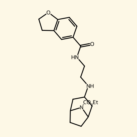 CCOC(=O)N1C2CCC1CC(NCCNC(=O)c1ccc3c(c1)CCO3)C2